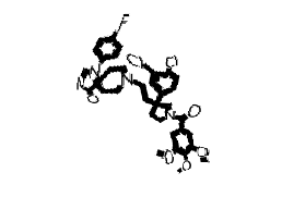 COc1cc(C(=O)N2CCC(CCN3CCC4(CC3)C(=O)N=CN4c3ccc(F)cc3)(c3ccc(Cl)c(Cl)c3)C2)cc(OC)c1OC